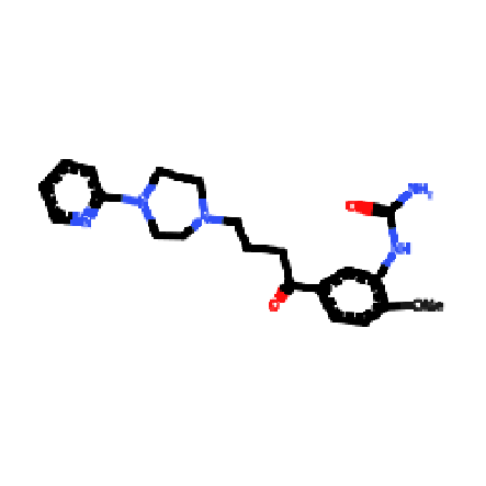 COc1ccc(C(=O)CCCN2CCN(c3ccccn3)CC2)cc1NC(N)=O